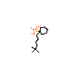 CC(C)(C)CCCCC1(P(=O)(O)O)CCCCC1